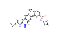 Cc1ccc(C(=O)NC2CCC2)cc1-c1ccc2c(c1)=CNC(NC(=O)C1CC1)C=2